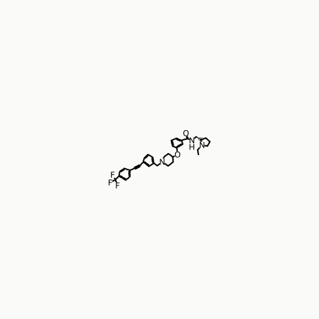 CCN1CCC[C@@H]1CNC(=O)c1cccc(OC2CCN(Cc3cccc(C#Cc4ccc(C(F)(F)F)cc4)c3)CC2)c1